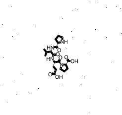 CC(C)[C@H](NC(=O)[C@@H]1CCCN1)C(=O)N[C@@H](CCC(=O)O)C(=O)N1CCC[C@H]1C(=O)O